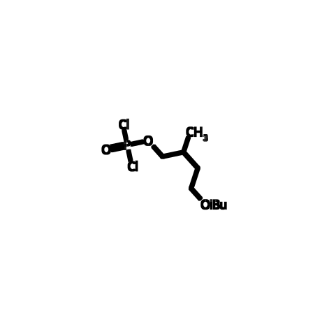 CC(C)COCCC(C)COP(=O)(Cl)Cl